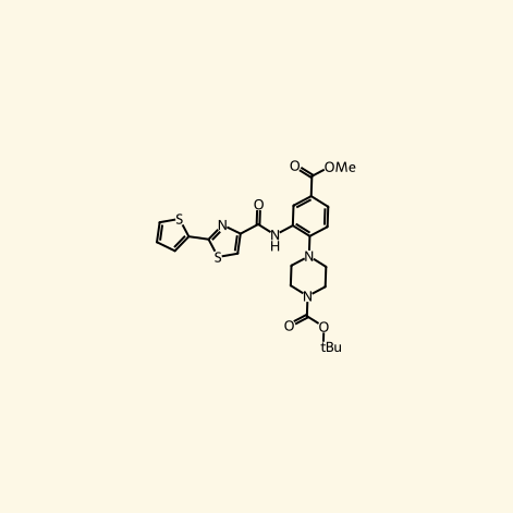 COC(=O)c1ccc(N2CCN(C(=O)OC(C)(C)C)CC2)c(NC(=O)c2csc(-c3cccs3)n2)c1